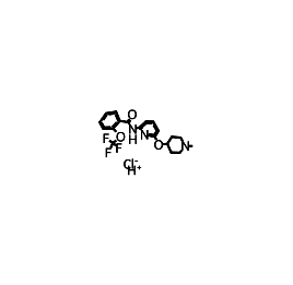 CN1CCC(Oc2cccc(NC(=O)c3ccccc3OC(F)(F)F)n2)CC1.[Cl-].[H+]